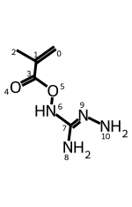 C=C(C)C(=O)ONC(N)=NN